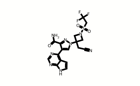 N#CCC1(n2cc(-c3ncnc4[nH]ccc34)c(C(N)=O)n2)CN(S(=O)(=O)CC(F)(F)F)C1